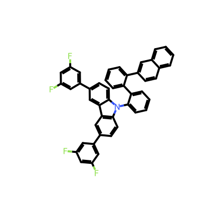 Fc1cc(F)cc(-c2ccc3c(c2)c2cc(-c4cc(F)cc(F)c4)ccc2n3-c2ccccc2-c2ccccc2-c2ccc3ccccc3c2)c1